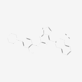 CCN(c1ccccc1CNc1nc(Nc2ccc(N3CCOCC3)cc2OC)nc2[nH]ccc12)S(C)(=O)=O